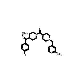 CON=C(c1ccc(Cl)cc1)C1CCN(C(=O)C2CCN(Cc3ccnc(N)c3)CC2)CC1